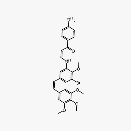 COc1cc(/C=C\c2cc(Br)c(OC)c(N/C=C\C(=O)c3ccc(N)cc3)c2)cc(OC)c1OC